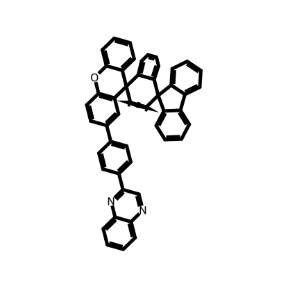 c1ccc2c(c1)Oc1ccc(-c3ccc(-c4cnc5ccccc5n4)cc3)cc1C21c2ccccc2C2(c3ccccc3-c3ccccc32)c2ccccc21